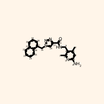 Cc1cc(N)nc(C)c1CNC(=O)c1cn(Cc2cccc3ccccc23)nn1